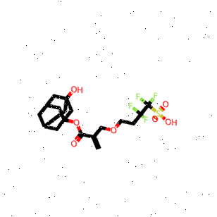 C=C(COCCC(F)(F)C(F)(F)S(=O)(=O)O)C(=O)OC12CC3CC(CC(O)(C3)C1)C2